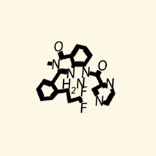 Cn1c(-c2ccccc2CCC(F)F)nc2c(N(N)C(=O)c3cnccn3)cccc2c1=O